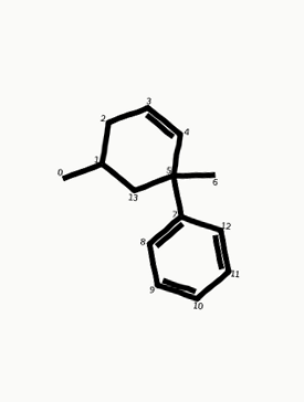 CC1CC=CC(C)(c2ccccc2)C1